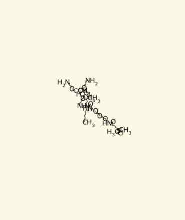 CCCCCCCCN(CCCC(C)C1CC[C@H]2C3[C@H](OCCCN)CC4C[C@H](OCCCN)CC[C@]4(C)[C@H]3C[C@H](OCCCN)[C@]12C)C(=O)NCCOCCOCCOCCNC(=O)CCCC[Si](C)(C)Cl